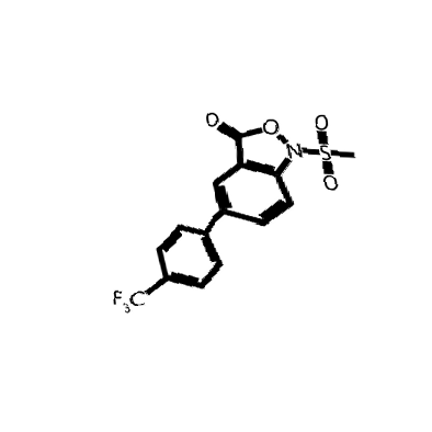 CS(=O)(=O)n1oc(=O)c2cc(-c3ccc(C(F)(F)F)cc3)ccc21